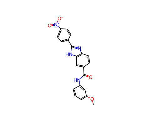 COc1cccc(NC(=O)c2ccc3nc(-c4ccc([N+](=O)[O-])cc4)[nH]c3c2)c1